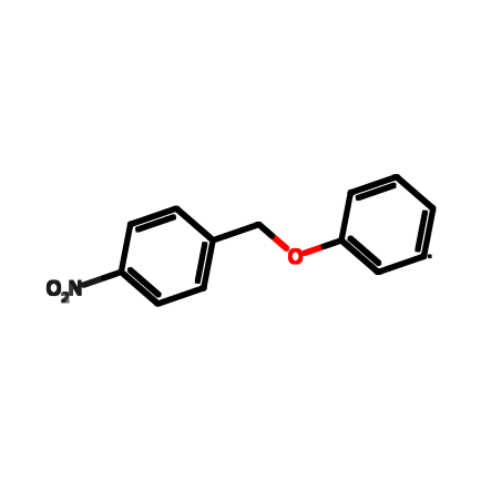 O=[N+]([O-])c1ccc(COc2c[c]ccc2)cc1